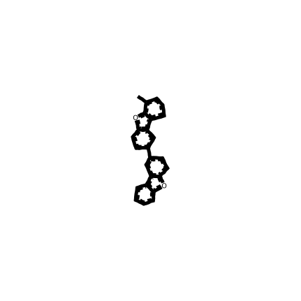 Cc1cccc2c1oc1ccc(-c3ccc4oc5ccccc5c4c3)cc12